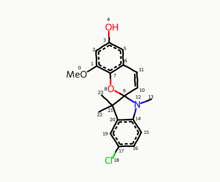 COc1cc(O)cc2c1OC1(C=C2)N(C)c2ccc(Cl)cc2C1(C)C